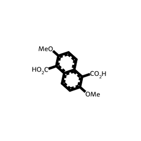 COc1ccc2c(C(=O)O)c(OC)ccc2c1C(=O)O